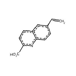 C=Cc1ccc2nc(C(=O)O)ccc2c1